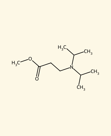 COC(=O)CCN(C(C)C)C(C)C